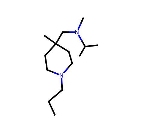 CCCN1CCC(C)(CN(C)C(C)C)CC1